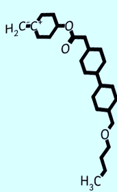 [CH2-][C+]1CCC(OC(=O)CC2CCC(C3CCC(COCCCC)CC3)CC2)CC1